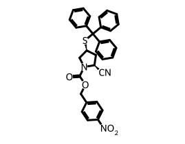 N#C[C@@H]1C[C@H](SC(c2ccccc2)(c2ccccc2)c2ccccc2)CN1C(=O)OCc1ccc([N+](=O)[O-])cc1